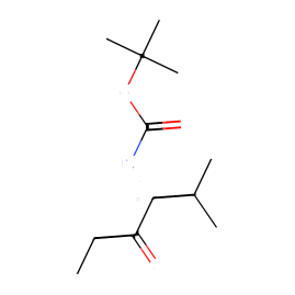 CCC(=O)[C@H](NC(=O)OC(C)(C)C)C(C)C